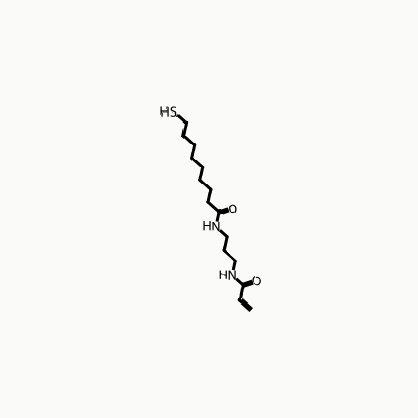 C=CC(=O)NCCCNC(=O)CCCCCCCCS